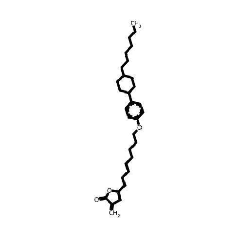 C=C1CC(CCCCCCCCOc2ccc(C3CCC(CCCCCCC)CC3)cc2)OC1=O